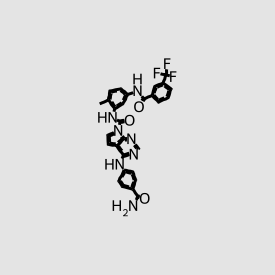 Cc1ccc(NC(=O)c2cccc(C(F)(F)F)c2)cc1NC(=O)n1ccc2c(Nc3ccc(C(N)=O)cc3)ncnc21